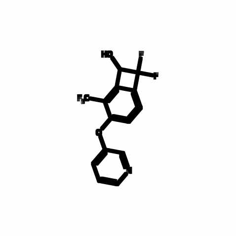 OC1C2=C(C(F)(F)F)C(Oc3cccnc3)=C=C=C2C1(F)F